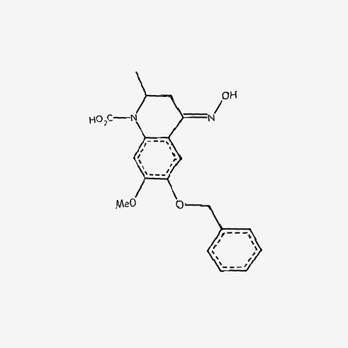 COc1cc2c(cc1OCc1ccccc1)C(=NO)CC(C)N2C(=O)O